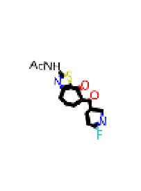 CC(=O)Nc1nc2c(s1)C(=O)C(C(=O)c1ccc(F)nc1)CCC2